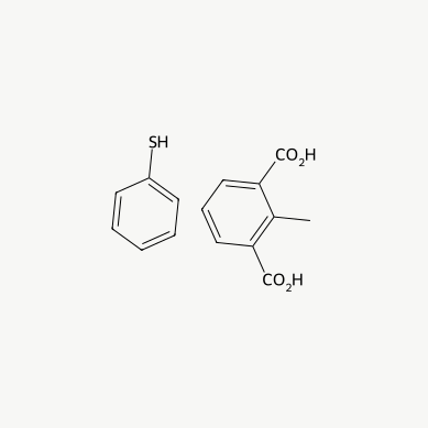 Cc1c(C(=O)O)cccc1C(=O)O.Sc1ccccc1